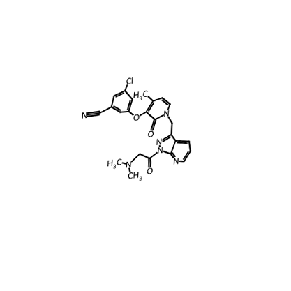 Cc1ccn(Cc2nn(C(=O)CN(C)C)c3ncccc23)c(=O)c1Oc1cc(Cl)cc(C#N)c1